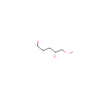 O=C[C@H](O)[C@@H](O)[C@H](O)[C@H](O)CON=O.[N]